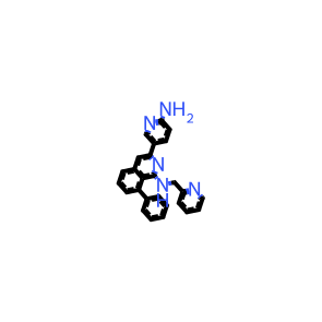 Nc1ccc(-c2cc3cccc(-c4ccccc4)c3c(NCc3ccccn3)n2)cn1